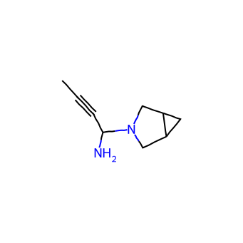 CC#CC(N)N1CC2CC2C1